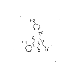 C(OCC1CO1)C1CO1.O=C1C=CC(=O)C=C1.Oc1ccccc1.Oc1ccccc1